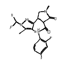 Cc1c(Br)c(C2CN(C)C(=O)C2C(=O)Nc2ccc(F)cc2F)nn1C(F)F